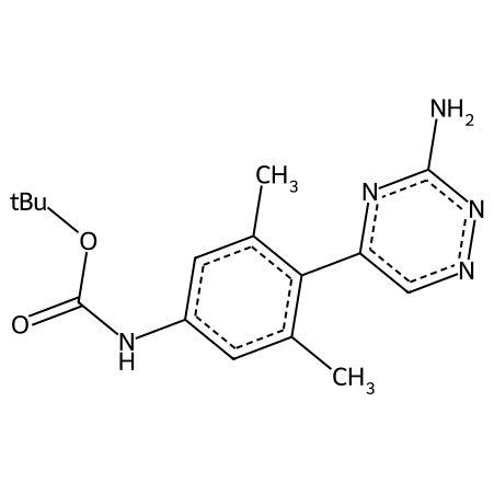 Cc1cc(NC(=O)OC(C)(C)C)cc(C)c1-c1cnnc(N)n1